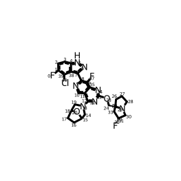 Fc1ccc2[nH]nc(-c3ncc4c(N5CC6CCC(C5)O6)nc(OC[C@@]56CCCN5C[C@H](F)C6)nc4c3F)c2c1Cl